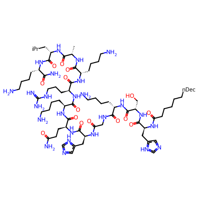 CCCCCCCCCCCCCCCC(=O)N[C@@H](Cc1cnc[nH]1)C(=O)N[C@@H](CO)C(=O)N[C@@H](CCCCN)C(=O)NCC(=O)N[C@@H](Cc1cnc[nH]1)C(=O)N[C@@H](CCC(N)=O)C(=O)N[C@@H](CCCCN)C(=O)N[C@@H](CCCNC(=N)N)C(=O)N[C@@H](CCCCN)C(=O)N[C@@H](C)C(=O)N[C@@H](CC(C)C)C(=O)N[C@@H](CCCCN)C(N)=O